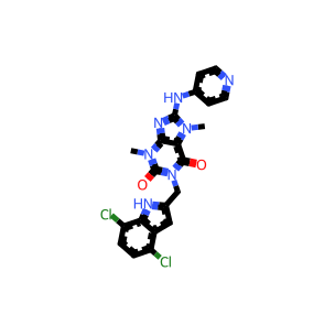 Cn1c(Nc2ccncc2)nc2c1c(=O)n(Cc1cc3c(Cl)ccc(Cl)c3[nH]1)c(=O)n2C